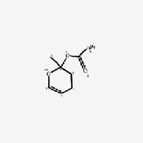 CCCC(=O)OC1(C)CCC=CO1